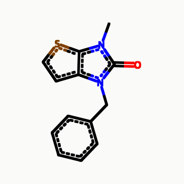 Cn1c(=O)n(Cc2ccccc2)c2ccsc21